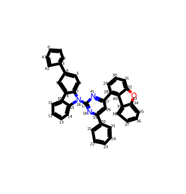 c1ccc(-c2ccc3c(c2)c2ccccc2n3-c2nc(-c3ccccc3)cc(-c3cccc4oc5ccccc5c34)n2)cc1